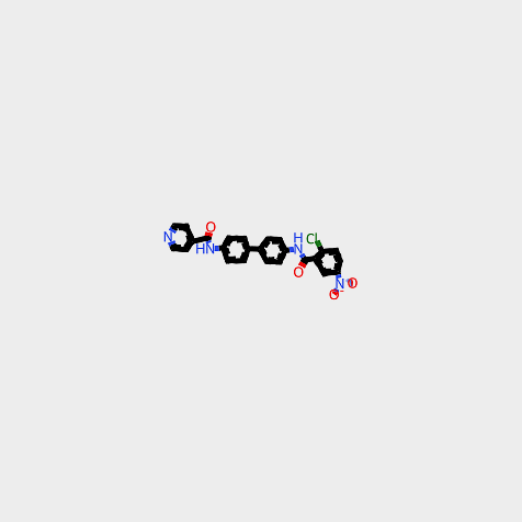 O=C(Nc1ccc(-c2ccc(NC(=O)c3cc([N+](=O)[O-])ccc3Cl)cc2)cc1)c1ccncc1